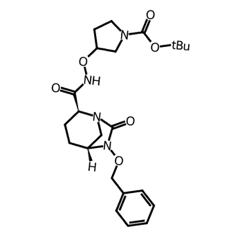 CC(C)(C)OC(=O)N1CCC(ONC(=O)[C@@H]2CC[C@@H]3CN2C(=O)N3OCc2ccccc2)C1